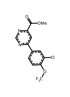 COC(=O)c1cc(-c2ccc(OC(F)(F)F)c(Cl)c2)ncn1